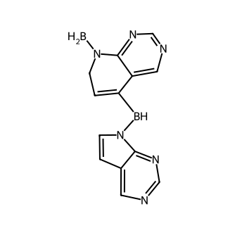 BN1CC=C(Bn2ccc3cncnc32)c2cncnc21